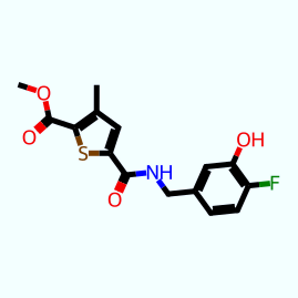 COC(=O)c1sc(C(=O)NCc2ccc(F)c(O)c2)cc1C